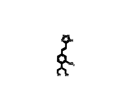 CC(C)CN(CC(C)C)c1ccc(C=Cc2nnn[nH]2)cc1[N+](=O)[O-]